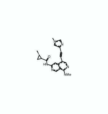 CNc1ncc(C#Cc2cn(C)cn2)c2cc(NC(=O)C3C[C@H]3C)ncc12